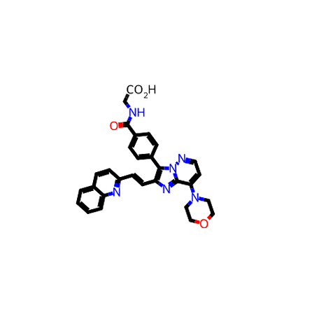 O=C(O)CNC(=O)c1ccc(-c2c(C=Cc3ccc4ccccc4n3)nc3c(N4CCOCC4)ccnn23)cc1